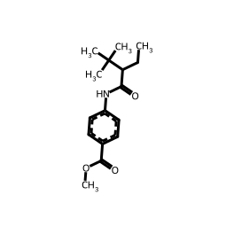 CCC(C(=O)Nc1ccc(C(=O)OC)cc1)C(C)(C)C